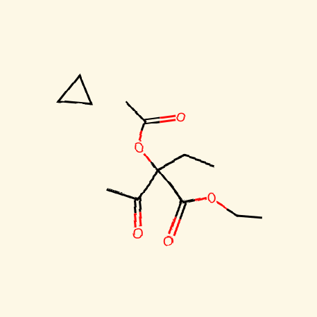 C1CC1.CCOC(=O)C(CC)(OC(C)=O)C(C)=O